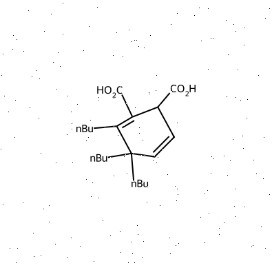 CCCCC1=C(C(=O)O)C(C(=O)O)C=CC1(CCCC)CCCC